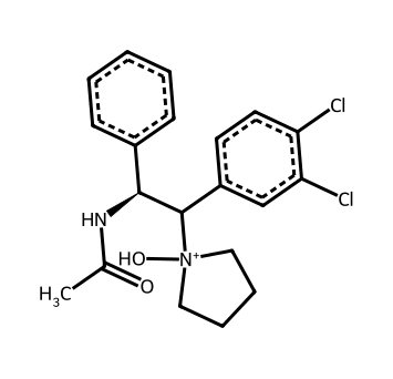 CC(=O)N[C@@H](c1ccccc1)C(c1ccc(Cl)c(Cl)c1)[N+]1(O)CCCC1